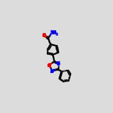 NC(=O)c1ccc(-c2nc(-c3ccccc3)no2)cc1